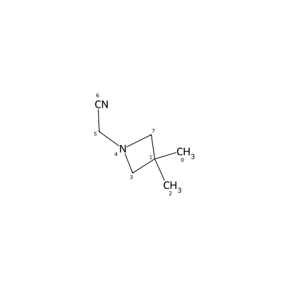 CC1(C)CN(CC#N)C1